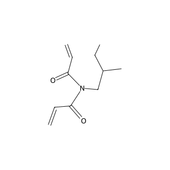 C=CC(=O)N(CC(C)CC)C(=O)C=C